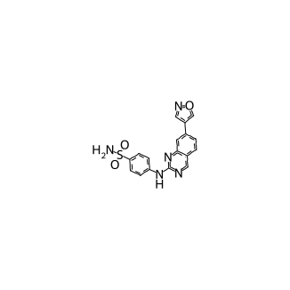 NS(=O)(=O)c1ccc(Nc2ncc3ccc(-c4cnoc4)cc3n2)cc1